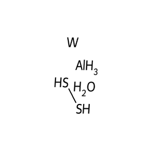 O.SS.[AlH3].[W]